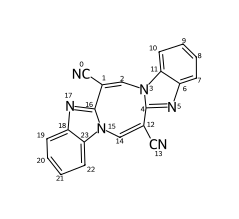 N#Cc1cn2c(nc3ccccc32)c(C#N)cn2c1nc1ccccc12